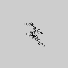 C=CCOC(=O)CC(O)CC(O)CCC1C(C)C(=O)C=C2/C(=N/OCc3cc(C)on3)CCC(OC(=O)C(C)CC)C21